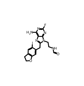 Nc1nc(F)nc2c1nc(Cc1cc3c(cc1I)CCO3)n2CCNC=O